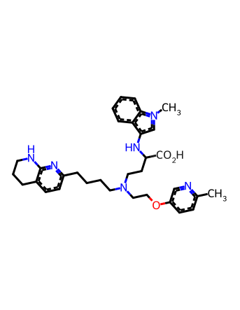 Cc1ccc(OCCN(CCCCc2ccc3c(n2)NCCC3)CCC(Nc2cn(C)c3ccccc23)C(=O)O)cn1